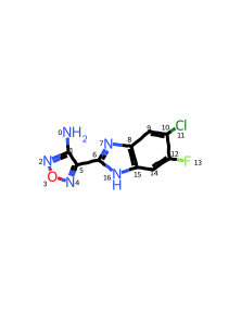 Nc1nonc1-c1nc2cc(Cl)c(F)cc2[nH]1